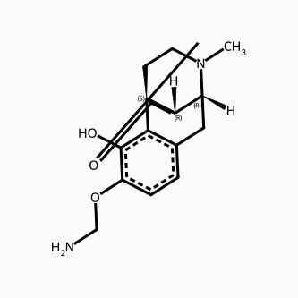 CN1CC[C@]23CC(=O)CC[C@H]2[C@H]1Cc1ccc(OCN)c(O)c13